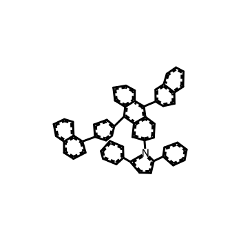 c1ccc(-c2ccc(-c3ccccc3)n2-c2ccc3c(-c4ccc5ccccc5c4)c4ccccc4c(-c4ccc(-c5cccc6ccccc56)cc4)c3c2)cc1